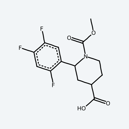 COC(=O)N1CCC(C(=O)O)CC1c1cc(F)c(F)cc1F